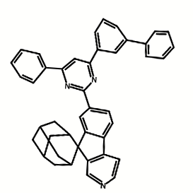 c1ccc(-c2cccc(-c3cc(-c4ccccc4)nc(-c4ccc5c(c4)C4(c6cnccc6-5)C5CC6CC(C5)CC4C6)n3)c2)cc1